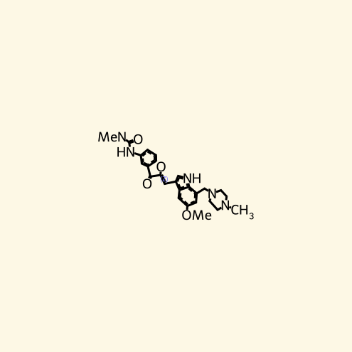 CNC(=O)Nc1ccc2c(c1)C(=O)/C(=C/c1c[nH]c3c(CN4CCN(C)CC4)cc(OC)cc13)O2